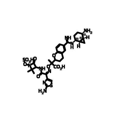 CC(ON=C(C(=O)NC1C(=O)N(OS(=O)(=O)O)C1(C)C)c1csc(N)n1)(C(=O)O)C1CCc2cc(C(=N)N[C@@H]3CC[C@H](N)[C@H]4C[C@H]43)ccc2O1